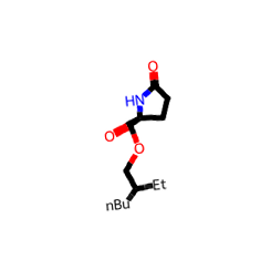 CCCCC(CC)COC(=O)C1CCC(=O)N1